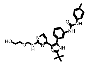 Cc1ccc(NC(=O)Nc2cccc(-c3[nH]c(C(C)(C)C)nc3-c3ccnc(NCOCCO)n3)c2)cc1